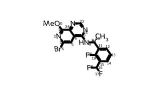 COc1nc(Br)cc2c(N[C@H](C)c3cccc(C(F)F)c3F)ncnc12